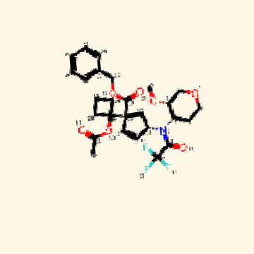 CO[C@@H]1COCC[C@@H]1N(C(=O)C(F)(F)F)[C@@H]1C=C[C@@](C(=O)OCc2ccccc2)(C2(OC(C)=O)CCC2)C1